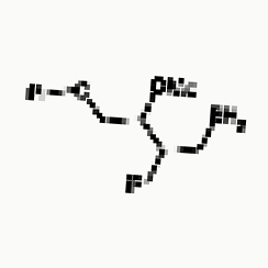 BCC(C(C)C)C(COC(C)C)OC